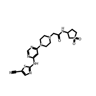 N#Cc1cnc(Nc2cc(N3CCN(CC(=O)NC4CCS(=O)(=O)C4)CC3)ncn2)s1